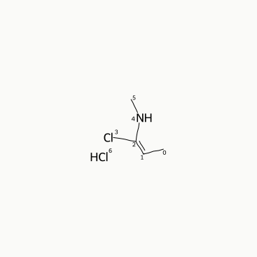 C/C=C(/Cl)NC.Cl